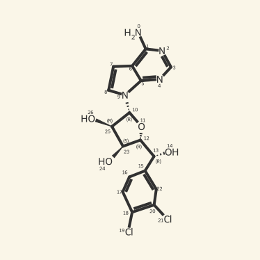 Nc1ncnc2c1ccn2[C@@H]1O[C@H]([C@H](O)c2ccc(Cl)c(Cl)c2)[C@@H](O)[C@H]1O